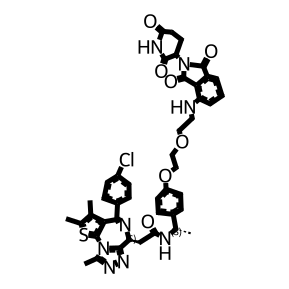 Cc1sc2c(c1C)C(c1ccc(Cl)cc1)=N[C@@H](CC(=O)N[C@@H](C)c1ccc(OCCOCCNc3cccc4c3C(=O)N(C3CCC(=O)NC3=O)C4=O)cc1)c1nnc(C)n1-2